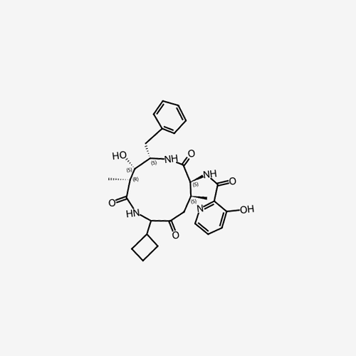 C[C@H]1CC(=O)C(C2CCC2)NC(=O)[C@H](C)[C@H](O)[C@H](Cc2ccccc2)NC(=O)[C@H]1NC(=O)c1ncccc1O